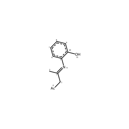 CC(=O)C/C(C)=N/c1ccccc1O